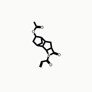 C=CC(=O)N1C(=O)C2CC3C4CC(CC4OC(C)=O)C3C21